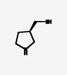 SC[C@@H]1CCNC1